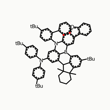 CC(C)(C)c1ccc(N(c2ccc(C(C)(C)C)cc2)c2cc3c4c(c2)N(c2ccc(C(C)(C)C)cc2-c2ccccc2)c2cc5oc6ccccc6c5cc2B4c2cc(C(C)(C)C)cc4c2C3C2(C)CCCCC42C)cc1